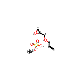 C=CCOCC1CO1.O=S(=O)([O-])[O-].[Na+].[Na+]